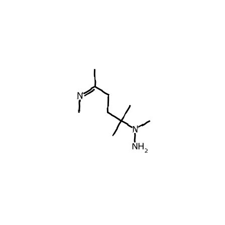 C/N=C(/C)CCC(C)(C)N(C)N